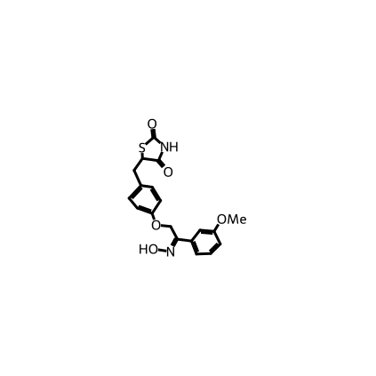 COc1cccc(C(COc2ccc(CC3SC(=O)NC3=O)cc2)=NO)c1